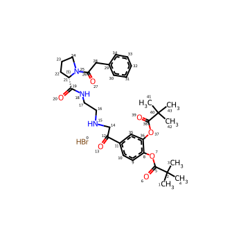 Br.CC(C)(C)C(=O)Oc1ccc(C(=O)CNCCNC(=O)[C@@H]2CCCN2C(=O)Cc2ccccc2)cc1OC(=O)C(C)(C)C